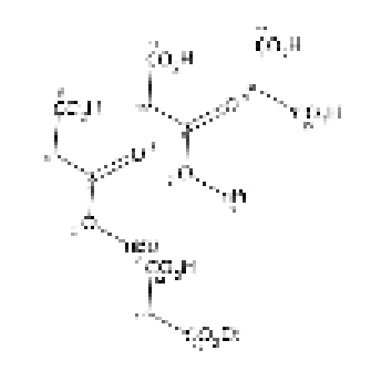 CCCCOC(=O)CC(=O)O.CCCOC(=O)CC(=O)O.CCOC(=O)CC(=O)O.O=C(O)CC(=O)O